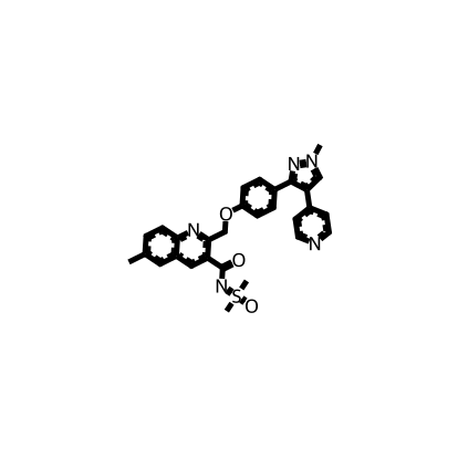 Cc1ccc2nc(COc3ccc(-c4nn(C)cc4-c4ccncc4)cc3)c(C(=O)N=S(C)(C)=O)cc2c1